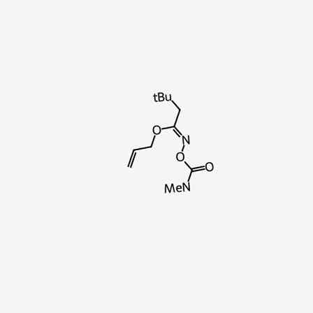 C=CCOC(CC(C)(C)C)=NOC(=O)NC